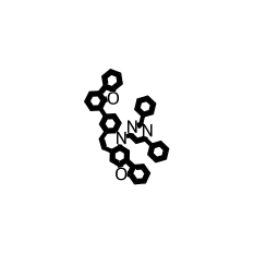 C1=Cc2cc3oc4ccccc4c3cc2N(c2cc(-c3ccccc3)nc(-c3ccccc3)n2)c2ccc(-c3cccc4c3oc3ccccc34)cc21